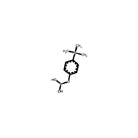 C[Si](C)(C)c1ccc(OB(O)O)cc1